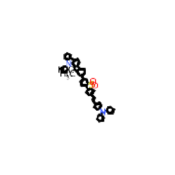 CC1(C)c2cc(-c3ccc4c(c3)S(=O)(=O)c3cc(/C=C/c5ccc(N(c6ccccc6)c6ccccc6)cc5)ccc3-4)ccc2-c2ccc3c4ccccc4n(-c4ccccc4)c3c21